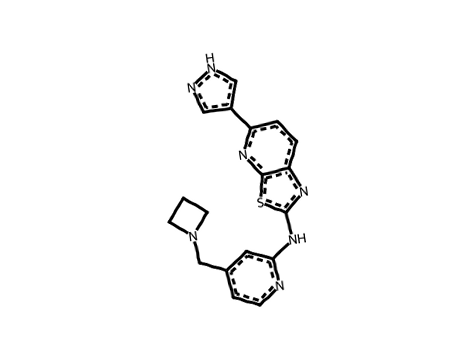 c1cc(CN2CCC2)cc(Nc2nc3ccc(-c4cn[nH]c4)nc3s2)n1